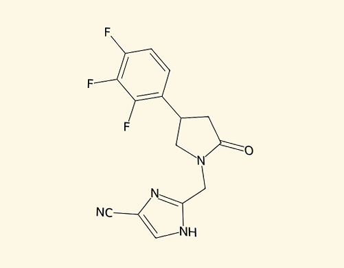 N#Cc1c[nH]c(CN2CC(c3ccc(F)c(F)c3F)CC2=O)n1